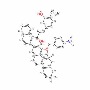 CN(C)c1ccc(COc2cc(-c3ccc4ccccc4c3C(O)C=Cc3ccc(C(=O)O)c(O)c3)cc3ccc4c(c23)C(C)(C)CC2=C4C=CC(C)(C)C2)cc1